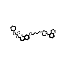 O=C(Oc1ccc2ccc(OCCCCN3CCN(c4cccc5c4CCS5)CC3)cc2n1)OC1CCCCC1